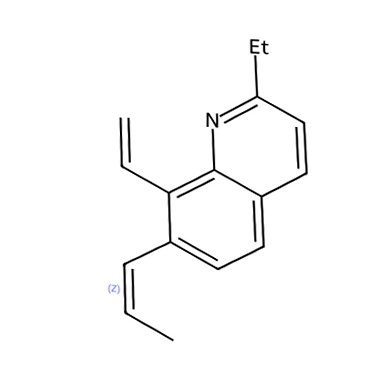 C=Cc1c(/C=C\C)ccc2ccc(CC)nc12